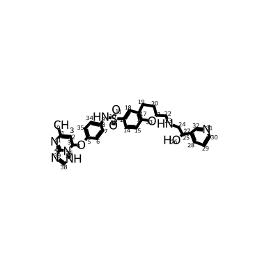 CC1=CC(Oc2ccc(NS(=O)(=O)c3ccc4c(c3)CCC(CNCC(O)c3cccnc3)O4)cc2)N2NC=NC2=N1